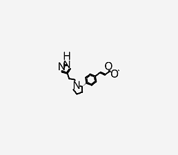 COC(=O)/C=C/c1ccc([C@@H]2CCCN2CCc2cn[nH]c2)cc1